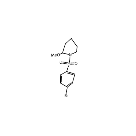 COC1CCCCN1S(=O)(=O)c1ccc(Br)cc1